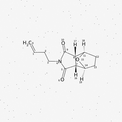 C=CCCN1C(=O)[C@@H]2[C@H](C1=O)[C@H]1CC[C@@H]2O1